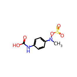 CN(O[SH](=O)=O)c1ccc(NC(=O)O)cc1